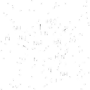 CC(=N)N1CCCN(C(=O)[C@@H](CNC(=N)N)NC(=O)[C@@H](CC(C)C)NC(=O)[C@@H](Cc2ccccc2)NC(=O)[C@H](N)Cc2ccccc2)CC1